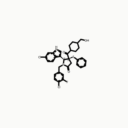 O=C1C[C@@](Sc2ccccc2)(C(=O)C2CCC(CO)CC2)[C@H](c2c[nH]c3cc(Cl)ccc23)N1Cc1ccc(Cl)c(F)c1